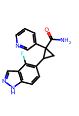 NC(=O)C1(c2cccnc2)CC1c1ccc2[nH]ncc2c1F